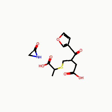 CC(SCC(CC(=O)O)C(=O)c1ccoc1)C(=O)O.O=C1CN1